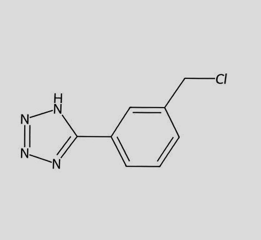 ClCc1cccc(-c2nnn[nH]2)c1